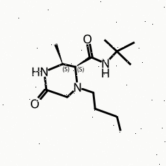 CCCCN1CC(=O)N[C@@H](C)[C@H]1C(=O)NC(C)(C)C